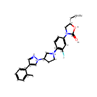 CC(=O)NC[C@H]1CN(c2ccc(N3CCC(n4cc(-c5ccccc5C)cn4)C3)c(F)c2)C(=O)O1